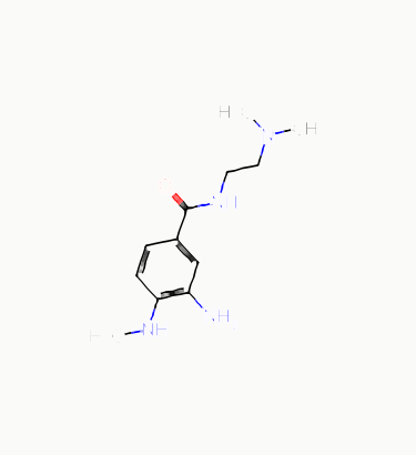 CNc1ccc(C(=O)NCCN(C)C)cc1N